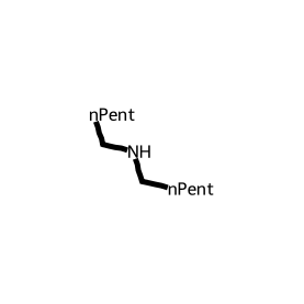 [CH2]CCCCCNCCCCCC